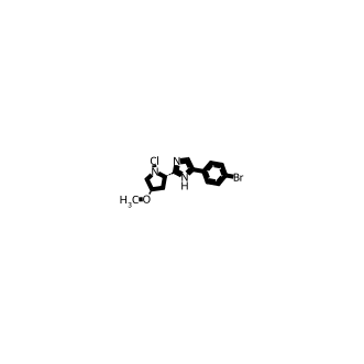 CO[C@H]1C[C@@H](c2ncc(-c3ccc(Br)cc3)[nH]2)N(Cl)C1